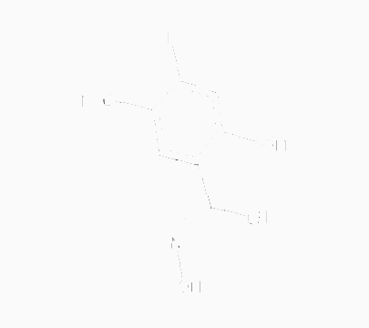 C/C(=N\O)c1cc(C)c(F)cc1O